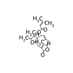 C=C1OC2CC3=C[C@@H](C/C(C)=C/[C@@H](OC(=O)C=C(C)C)[C@@H]2C1=C)OC3=O